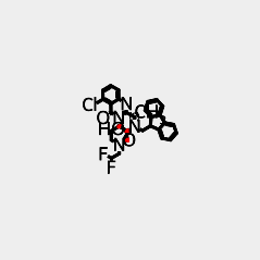 C[C@@H](c1nc2cccc(Cl)c2c(=O)n1C1CCN(CC(F)F)CC1)N(CC1c2ccccc2-c2ccccc21)C(=O)O